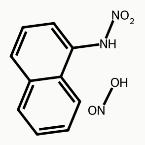 O=NO.O=[N+]([O-])Nc1cccc2ccccc12